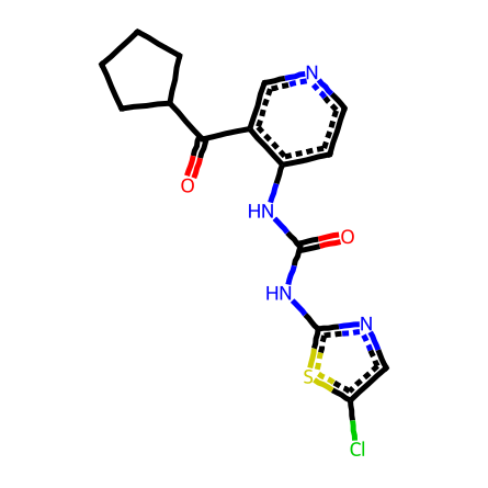 O=C(Nc1ncc(Cl)s1)Nc1ccncc1C(=O)C1CCCC1